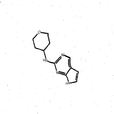 c1cc2cnc(NC3CCOCC3)nc2[nH]1